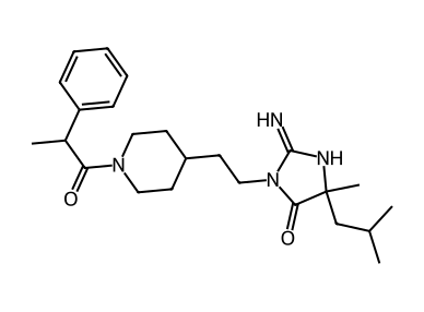 CC(C)CC1(C)NC(=N)N(CCC2CCN(C(=O)C(C)c3ccccc3)CC2)C1=O